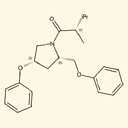 CC(C)[C@H](C)C(=O)N1C[C@@H](Oc2ccccc2)C[C@H]1COc1ccccc1